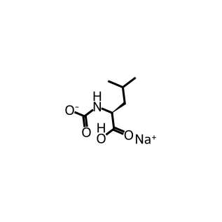 CC(C)C[C@H](NC(=O)[O-])C(=O)O.[Na+]